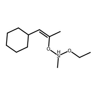 CCO[SiH](C)OC(C)=CC1CCCCC1